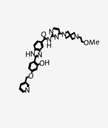 COCCN1CC2(C1)CN(c1ccnc(NC(=O)c3ccc4[nH]c(-c5ccc(OCc6cccnc6)cc5O)nc4c3)n1)C2